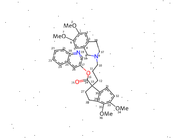 COc1cc2c(cc1OC)CN(CCCC1(C(=O)Oc3cnc4ccccc4c3)CCc3c1ccc(OC)c3OC)CC2